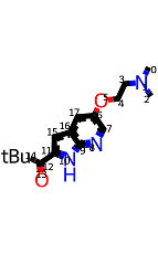 CN(C)CCOc1cnc2[nH]c(C(=O)C(C)(C)C)cc2c1